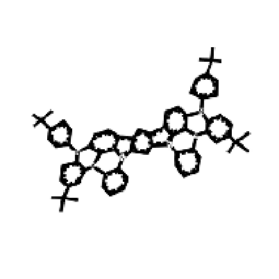 CC(C)(C)c1ccc(N2c3ccc(C(C)(C)C)cc3B3c4ccccc4-n4c5cc6c(cc5c5ccc2c3c54)c2ccc3c4c2n6-c2ccccc2B4c2cc(C(C)(C)C)ccc2N3c2ccc(C(C)(C)C)cc2)cc1